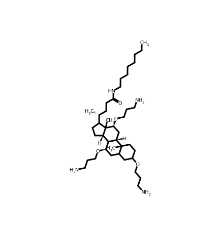 CCCCCCCCNC(=O)CC[C@@H](C)C1CC[C@H]2C3[C@H](OCCCN)CC4CC(OCCCN)CCC4(C)[C@H]3C[C@H](OCCCN)C12C